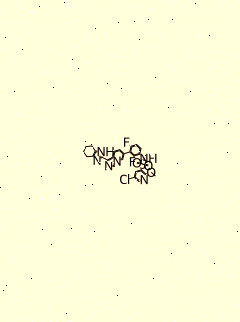 COc1ncc(Cl)cc1S(=O)(=O)Nc1ccc(F)c(-c2ccc3c(-c4nc5c([nH]4)CCCC5)ncn3c2)c1F